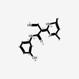 CC1=CC(C)=N/C(=C(/C=N)C(=O)Nc2cccc(O)c2)N1